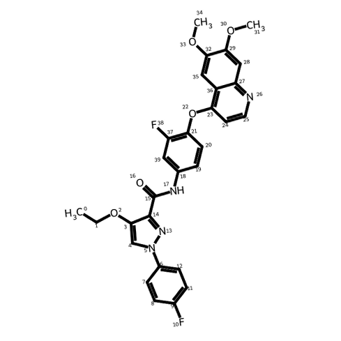 CCOc1cn(-c2ccc(F)cc2)nc1C(=O)Nc1ccc(Oc2ccnc3cc(OC)c(OC)cc23)c(F)c1